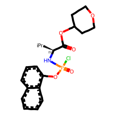 CC(C)[C@H](NP(=O)(Cl)Oc1cccc2ccccc12)C(=O)OC1CCOCC1